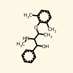 CNC(C(C)Oc1c(C)cccc1C)C(O)c1ccccc1